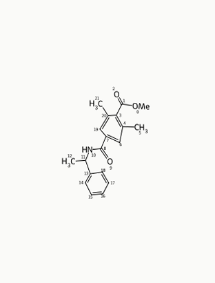 COC(=O)c1c(C)cc(C(=O)NC(C)c2ccccc2)cc1C